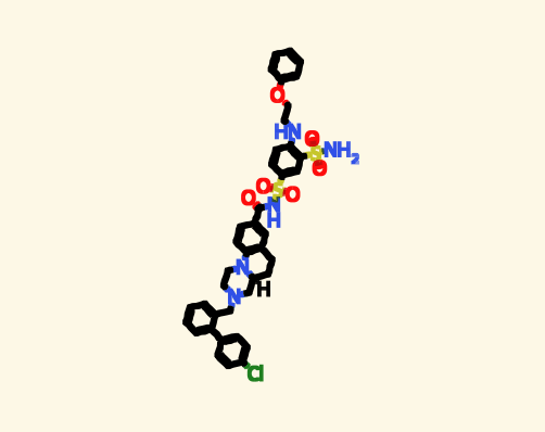 NS(=O)(=O)c1cc(S(=O)(=O)NC(=O)c2ccc3c(c2)CC[C@H]2CN(Cc4ccccc4-c4ccc(Cl)cc4)CCN32)ccc1NCCOc1ccccc1